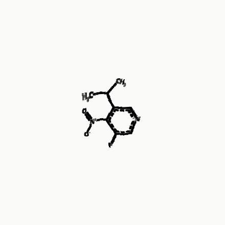 CC(C)c1cncc(F)c1[N+](=O)[O-]